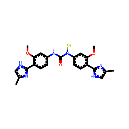 COc1cc(NC(=O)N(S)c2ccc(-c3nc(C)c[nH]3)c(OC)c2)ccc1-c1nc(C)c[nH]1